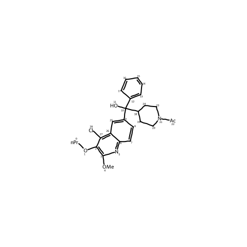 CCCOc1c(OC)nc2ccc(C(O)(c3ccccc3)C3CCN(C(C)=O)CC3)cc2c1Cl